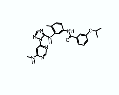 CNc1cc(-n2ncnc2Nc2cc(NC(=O)c3cccc(OC(C)C)c3)ccc2C)ncn1